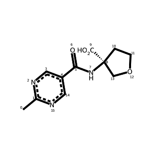 Cc1ncc(C(=O)N[C@@]2(C(=O)O)CCOC2)cn1